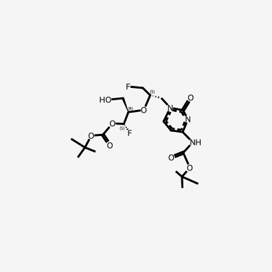 CC(C)(C)OC(=O)Nc1ccn(C[C@@H](CF)O[C@H](CO)[C@H](F)OC(=O)OC(C)(C)C)c(=O)n1